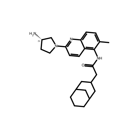 Cc1ccc2nc(N3CC[C@H](N)C3)ccc2c1NC(=O)CC1CC2CCCC(C2)C1